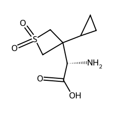 N[C@H](C(=O)O)C1(C2CC2)CS(=O)(=O)C1